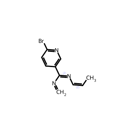 C=N/C(=N\C=C/C)c1ccc(Br)nc1